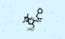 Cc1cn(C)c2cc(CO)c(NC(C)CC3CCCC3)nc12